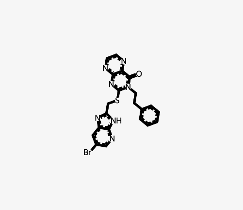 O=c1c2nccnc2nc(SCc2nc3cc(Br)cnc3[nH]2)n1CCc1ccccc1